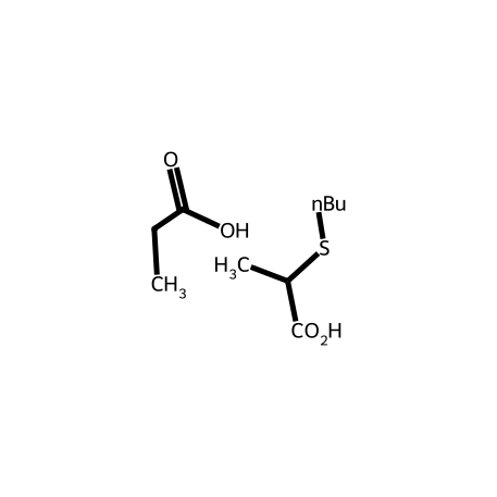 CCC(=O)O.CCCCSC(C)C(=O)O